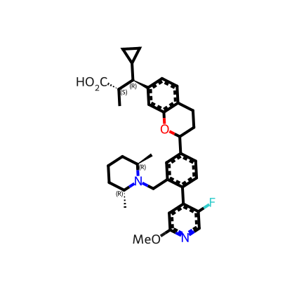 COc1cc(-c2ccc(C3CCc4ccc([C@H](C5CC5)[C@H](C)C(=O)O)cc4O3)cc2CN2[C@H](C)CCC[C@H]2C)c(F)cn1